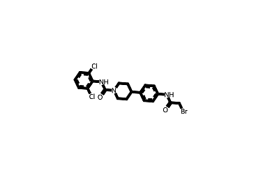 O=C(CBr)Nc1ccc(C2CCN(C(=O)Nc3c(Cl)cccc3Cl)CC2)cc1